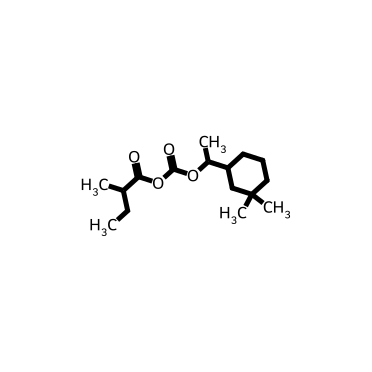 CCC(C)C(=O)OC(=O)OC(C)C1CCCC(C)(C)C1